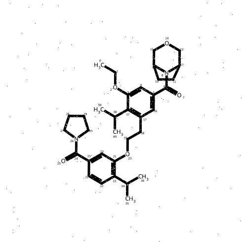 CCOc1cc(C(=O)N2C3CCC2COC3)cc(CCOc2cc(C(=O)N3CCCC3)ccc2C(C)C)c1C(C)C